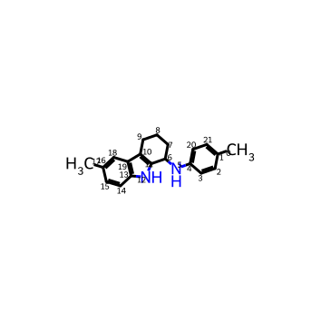 Cc1ccc(NC2CCCc3c2[nH]c2ccc(C)cc32)cc1